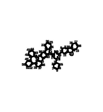 c1ccc(-c2nc(-c3ccc4c(c3)oc3ccccc34)nc(-n3c4ccccc4c4cc5c(cc43)c3cccc4c3n5-c3ccccc3-c3ccccc3-4)n2)cc1